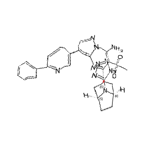 CS(=O)(=O)c1c([C@@H]2C[C@H]3CC[C@@H](C2)N3c2nnn[nH]2)nc2c(-c3ccc(-c4ccccc4)nc3)cnn2c1N